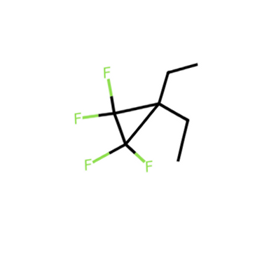 CCC1(CC)C(F)(F)C1(F)F